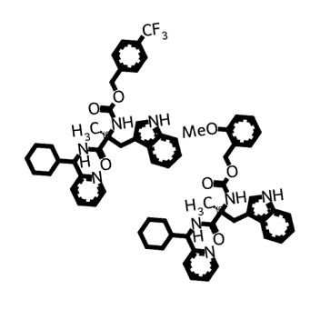 COc1ccccc1COC(=O)N[C@@](C)(Cc1c[nH]c2ccccc12)C(=O)NC(c1ccccn1)C1CCCCC1.C[C@@](Cc1c[nH]c2ccccc12)(NC(=O)OCc1ccc(C(F)(F)F)cc1)C(=O)NC(c1ccccn1)C1CCCCC1